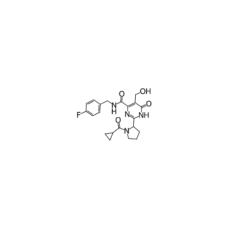 O=C(NCc1ccc(F)cc1)c1nc(C2CCCN2C(=O)C2CC2)[nH]c(=O)c1CO